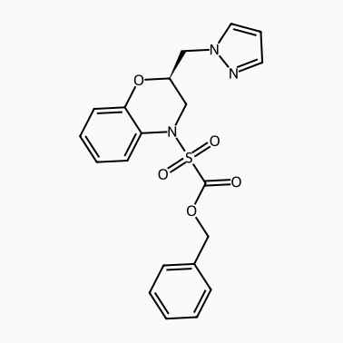 O=C(OCc1ccccc1)S(=O)(=O)N1C[C@H](Cn2cccn2)Oc2ccccc21